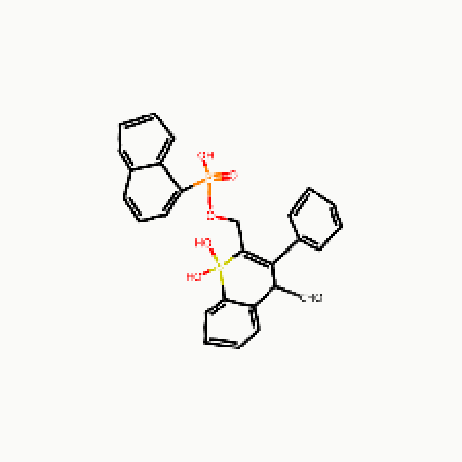 O=CC1C(c2ccccc2)=C(COP(=O)(O)c2cccc3ccccc23)S(O)(O)c2ccccc21